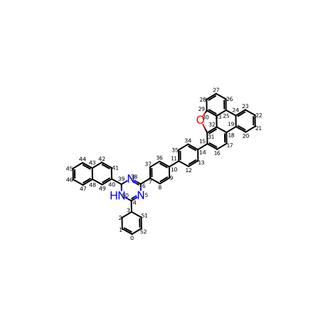 C1=CCC(C2=NC(c3ccc(-c4ccc(-c5ccc6c7ccccc7c7cccc8oc5c6c87)cc4)cc3)=NC(c3ccc4ccccc4c3)N2)C=C1